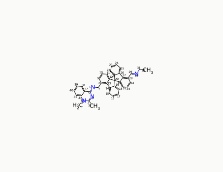 C=N/C(C)=N\C(=N/Cc1cccc2c1-c1ccccc1C21c2ccccc2-c2c(/C=N/CC)cccc21)c1ccccc1